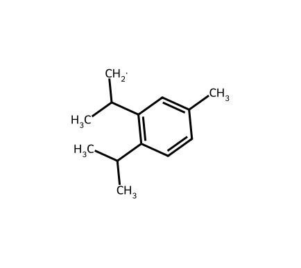 [CH2]C(C)c1cc(C)ccc1C(C)C